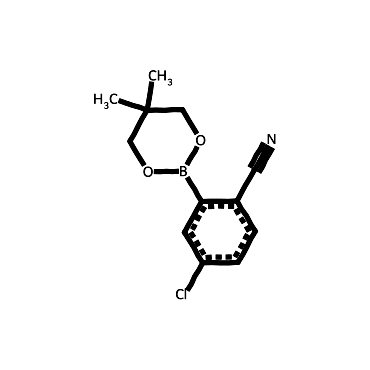 CC1(C)COB(c2cc(Cl)ccc2C#N)OC1